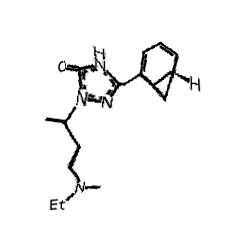 CCN(C)CCC(C)n1nc(C2=CC=C[C@@H]3CC23)[nH]c1=O